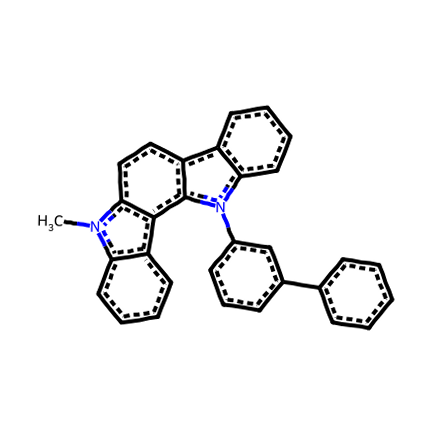 Cn1c2ccccc2c2c1ccc1c3ccccc3n(-c3cccc(-c4ccccc4)c3)c12